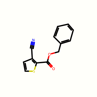 N#Cc1ccsc1C(=O)OCc1ccccc1